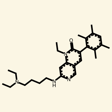 CCN(CC)CCCCNc1cc2c(cn1)cc(-c1c(C)c(C)cc(C)c1C)c(=O)n2CC